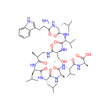 CC(C)C[C@H](NC(=O)[C@@H](CC(C)C)NC(=O)[C@@H](C)CNC(=O)[C@@H](NC(=O)[C@@H](NC(=O)[C@@H](CC(C)C)NC(=O)[C@@H](N)Cc1c[nH]c2ccccc12)C(C)C)[C@@H](C)O)C(=O)N[C@H](C)C(=O)N[C@H](C(=O)N[C@H](C)C(=O)O)C(C)C